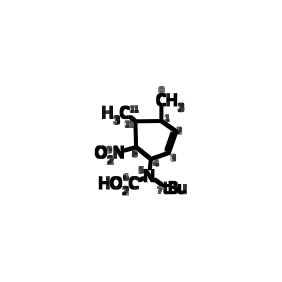 CC1C=CC(N(C(=O)O)C(C)(C)C)C([N+](=O)[O-])C1C